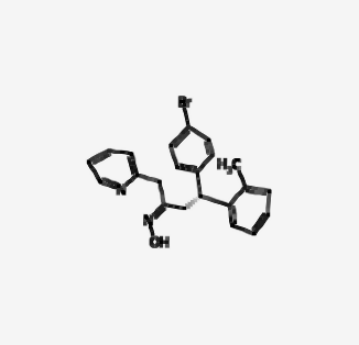 Cc1ccccc1[C@H](C/C(Cc1ccccn1)=N\O)c1ccc(Br)cc1